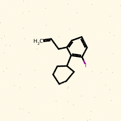 C=CCc1cccc(I)c1C1CCCCC1